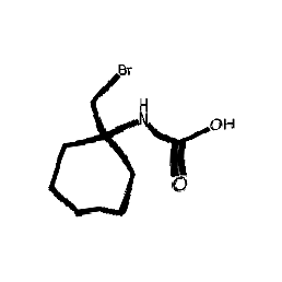 O=C(O)NC1(CBr)CCCCC1